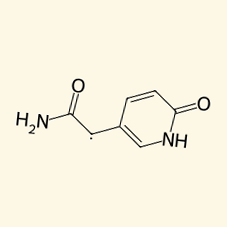 NC(=O)[CH]c1ccc(=O)[nH]c1